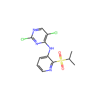 CC(C)S(=O)(=O)c1ncccc1Nc1nc(Cl)ncc1Cl